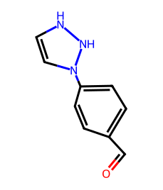 O=Cc1ccc(N2C=CNN2)cc1